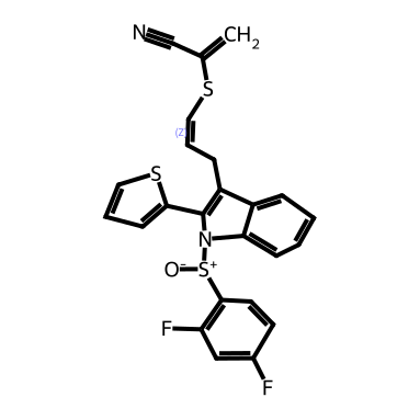 C=C(C#N)S/C=C\Cc1c(-c2cccs2)n([S+]([O-])c2ccc(F)cc2F)c2ccccc12